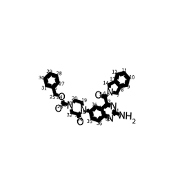 Nc1nc(C(=O)N2Cc3ccccc3C2)c2cc(N3CCN(C(=O)OCc4ccccc4)CC3=O)ccc2n1